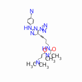 C[C@@H](C(=O)NCCCC#Cc1cnc(Nc2ccc(C#N)cc2)nc1-n1cncn1)N(C)C(=O)/C=C/CN(C)C